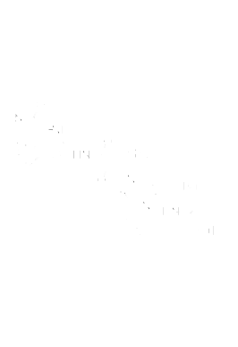 CCCCC(NC(=O)[C@@H]1C2[C@H](CN1C(=O)C(NC(=O)OC(C)(C)C)C(C)(C)C)C2(C)C)C(=O)C(=O)NCC(=O)N[C@H](C(=O)N(C)C)c1cccs1